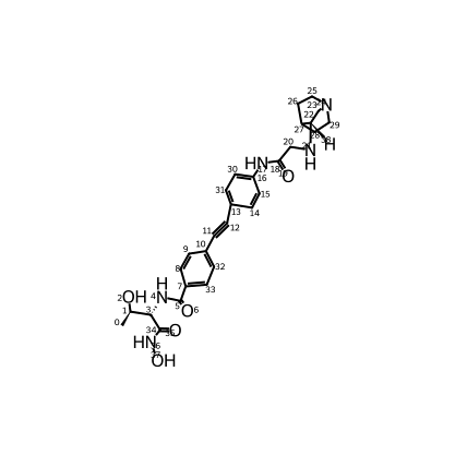 C[C@@H](O)[C@H](NC(=O)c1ccc(C#Cc2ccc(NC(=O)CN[C@H]3CN4CCC3CC4)cc2)cc1)C(=O)NO